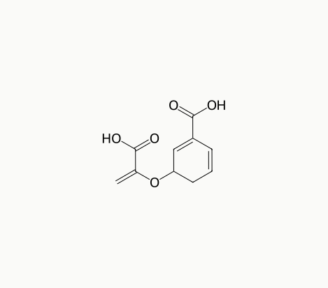 C=C(OC1C=C(C(=O)O)C=CC1)C(=O)O